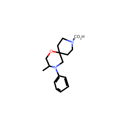 CC1COC2(CCN(C(=O)O)CC2)CN1c1ccccc1